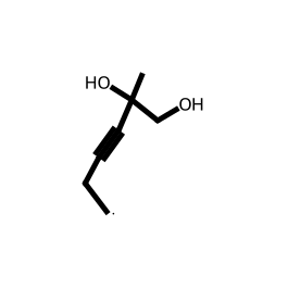 [CH2]CC#CC(C)(O)CO